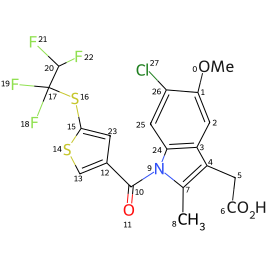 COc1cc2c(CC(=O)O)c(C)n(C(=O)c3csc(SC(F)(F)C(F)F)c3)c2cc1Cl